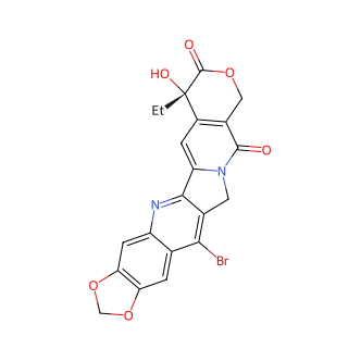 CC[C@@]1(O)C(=O)OCc2c1cc1n(c2=O)Cc2c-1nc1cc3c(cc1c2Br)OCO3